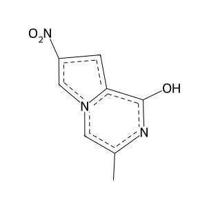 Cc1cn2cc([N+](=O)[O-])cc2c(O)n1